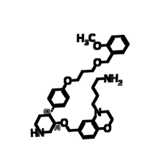 COc1ccccc1COCCCOc1ccc([C@H]2CCNC[C@@H]2OCc2ccc3c(c2)N(CCCCN)CCO3)cc1